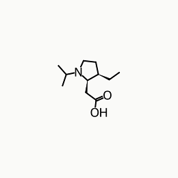 CC[C@@H]1CCN(C(C)C)[C@@H]1CC(=O)O